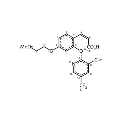 COCCOc1ccc(/C=C\C(=O)O)c(Oc2ncc(C(F)(F)F)cc2Cl)c1